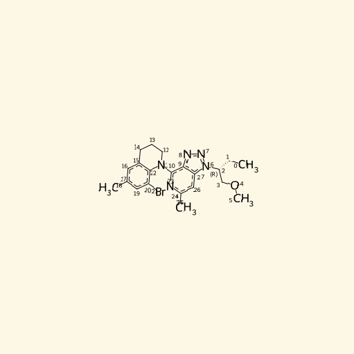 CC[C@H](COC)n1nnc2c(N3CCCc4cc(C)cc(Br)c43)nc(C)cc21